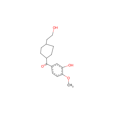 COc1ccc(C(=O)C2CCC(CCO)CC2)cc1O